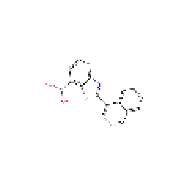 OB(O)c1cccc2nc(-c3cccc4ccccc34)oc12